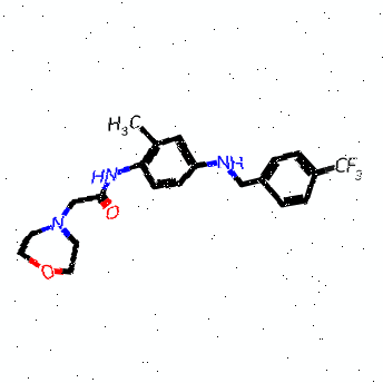 Cc1cc(NCc2ccc(C(F)(F)F)cc2)ccc1NC(=O)CN1CCOCC1